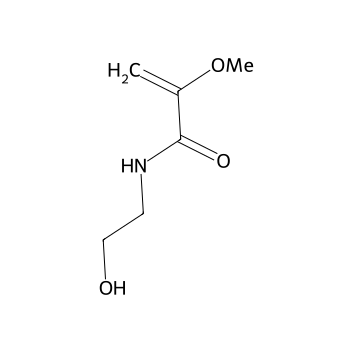 C=C(OC)C(=O)NCCO